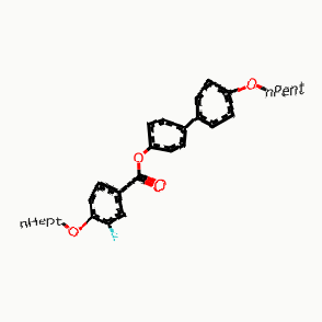 CCCCCCCOc1ccc(C(=O)Oc2ccc(-c3ccc(OCCCCC)cc3)cc2)cc1F